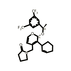 C[C@@H](O[C@H]1OC=CC(CN2CCCC2=O)=C1C1C=CCCC1)c1cc(C(F)(F)F)cc(C(F)(F)F)c1